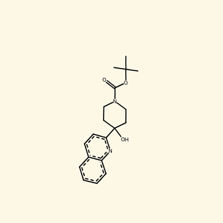 CC(C)(C)OC(=O)N1CCC(O)(c2ccc3ccccc3n2)CC1